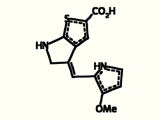 COc1cc[nH]c1/C=C1/CNc2sc(C(=O)O)cc21